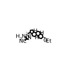 CCOC[C@H]1CC[C@@H]2C3CC[C@@]4(C)C(CCC4[C@@H](C)n4ncc(C#N)c4N)[C@@H]3CC[C@@H]2C1